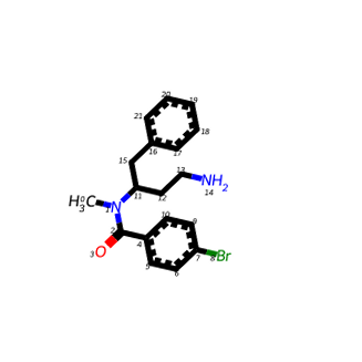 CN(C(=O)c1ccc(Br)cc1)C(CCN)Cc1ccccc1